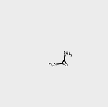 NC1OC1N